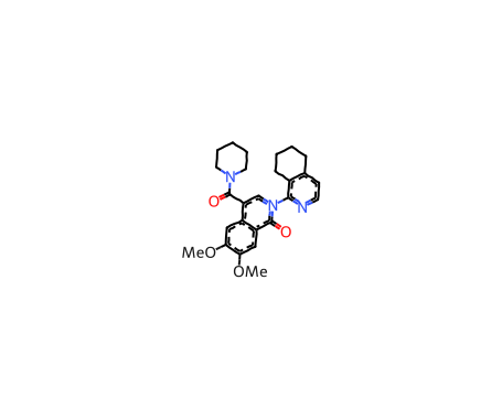 COc1cc2c(C(=O)N3CCCCC3)cn(-c3nccc4c3CCCC4)c(=O)c2cc1OC